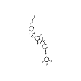 CCCCCC1CCC(C(F)(F)Oc2cc(F)c(C(F)(F)Oc3ccc(C#Cc4cc(F)c(F)c(F)c4)cc3)c(F)c2)CC1